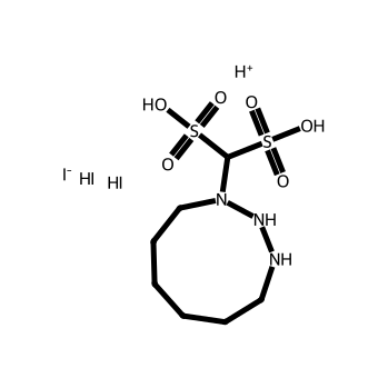 I.I.O=S(=O)(O)C(N1CCCCCCNN1)S(=O)(=O)O.[H+].[I-]